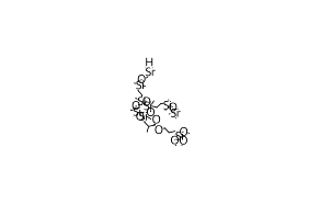 CO[Si](CCCOC(=O)C(C)C[Si]1(C)O[Si](C)(C)O[Si](C)(CC[Si](C)(C)OC[SiH](C)C)O[Si](C)(CC[Si](C)(C)O[Si](C)(C)C)O1)(OC)OC